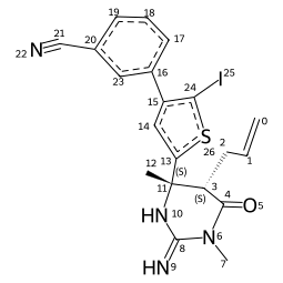 C=CC[C@@H]1C(=O)N(C)C(=N)N[C@]1(C)c1cc(-c2cccc(C#N)c2)c(I)s1